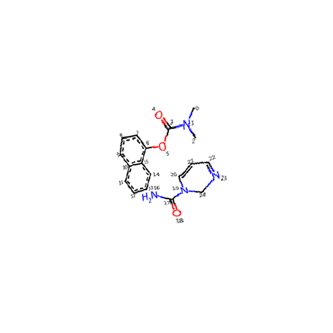 CN(C)C(=O)Oc1cccc2ccccc12.NC(=O)N1C=CC=NC1